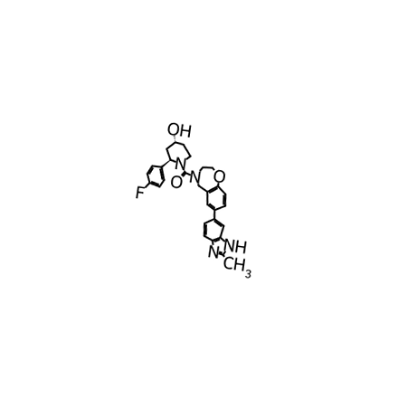 Cc1nc2ccc(-c3ccc4c(c3)CN(C(=O)N3CC[C@@H](O)C[C@@H]3c3ccc(F)cc3)CCO4)cc2[nH]1